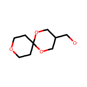 [O]CC1COC2(CCOCC2)OC1